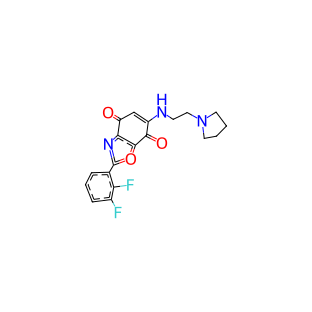 O=C1C=C(NCCN2CCCC2)C(=O)c2oc(-c3cccc(F)c3F)nc21